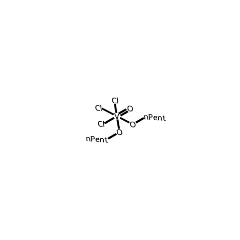 CCCCC[O][V](=[O])([Cl])([Cl])([Cl])[O]CCCCC